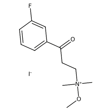 CO[N+](C)(C)CCC(=O)c1cccc(F)c1.[I-]